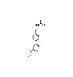 CCOC(=O)CC(=O)c1ccc(CCNC(C)=O)cc1